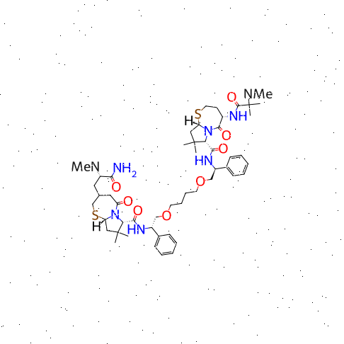 CN[C@@H](CC1CS[C@H]2CC(C)(C)[C@@H](C(=O)N[C@H](COCCCCOC[C@@H](NC(=O)[C@H]3N4C(=O)[C@@H](NC(=O)C(C)(C)NC)CCS[C@H]4CC3(C)C)c3ccccc3)c3ccccc3)N2C(=O)C1)C(N)=O